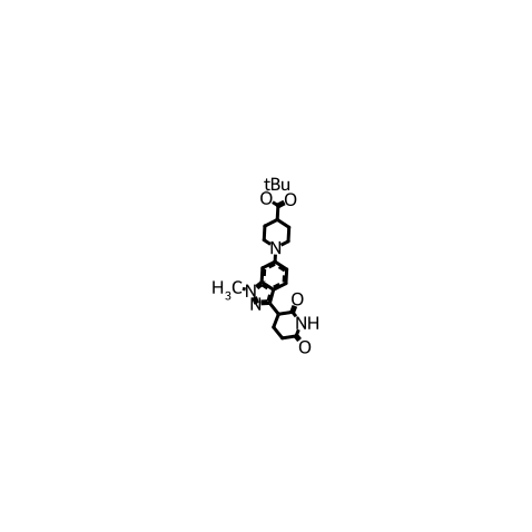 Cn1nc(C2CCC(=O)NC2=O)c2ccc(N3CCC(C(=O)OC(C)(C)C)CC3)cc21